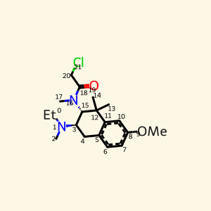 CCN(C)[C@@H]1Cc2ccc(OC)cc2C(C)(C)[C@H]1N(C)C(=O)CCl